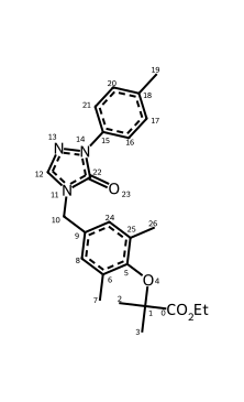 CCOC(=O)C(C)(C)Oc1c(C)cc(Cn2cnn(-c3ccc(C)cc3)c2=O)cc1C